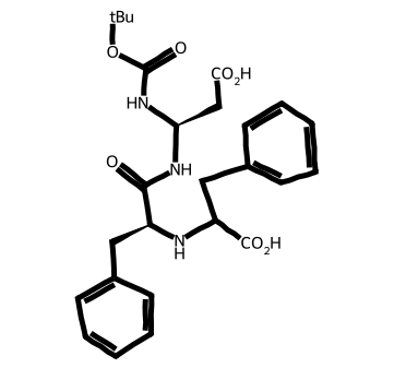 CC(C)(C)OC(=O)N[C@@H](CC(=O)O)NC(=O)[C@H](Cc1ccccc1)NC(Cc1ccccc1)C(=O)O